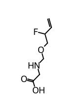 C=CC(F)COCNCC(=O)O